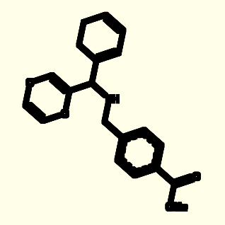 COC(=O)c1ccc(CNC(C2=CC=CCC2)C2=COC=CO2)cc1